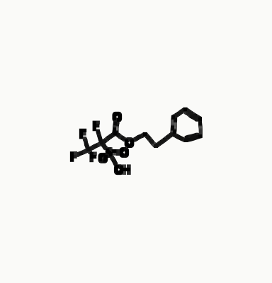 O=C(OCCc1ccccc1)C(F)(C(F)(F)F)S(=O)(=O)O